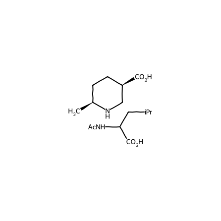 CC(=O)NC(CC(C)C)C(=O)O.C[C@H]1CC[C@@H](C(=O)O)CN1